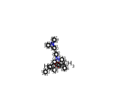 CC1(c2ccc(-c3c(N(c4ccc(-c5ccc(-c6ccccc6)cc5)cc4)c4ccc(-c5ccc6c(c5)c5ccccc5n6-c5ccccc5)cc4)cccc3C(C)(c3ccccc3)c3ccccc3)cc2)C=CC=CC1